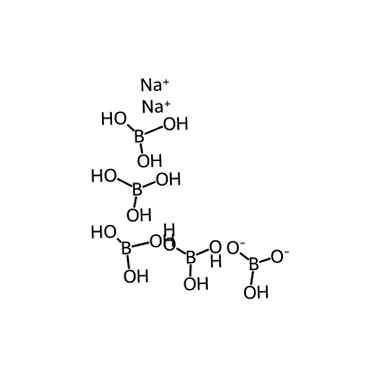 OB(O)O.OB(O)O.OB(O)O.OB(O)O.[Na+].[Na+].[O-]B([O-])O